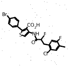 Cc1cc(Cl)c(CC(F)C(=O)Nc2csc(-c3ccc(Br)cc3)c2C(=O)O)cc1F